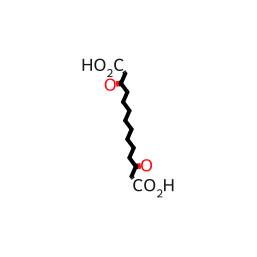 O=C(O)CC(=O)CCCCCCCCC(=O)CC(=O)O